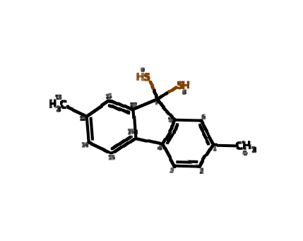 Cc1ccc2c(c1)C(S)(S)c1cc(C)ccc1-2